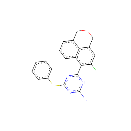 Nc1nc(Sc2ccccc2)nc(-c2c(Cl)cc3c4c(cccc24)COC3)n1